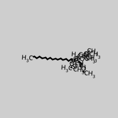 CCCCCCCCCCCCCCCC[Si](C)(O[Si](C)(C)C)O[Si](C)(CCCOCC)O[Si](C)(C)O[Si](C)(C)C